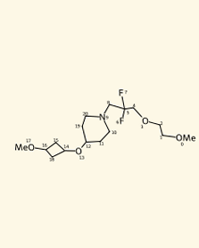 COCCOCC(F)(F)CN1CCC(OC2CC(OC)C2)CC1